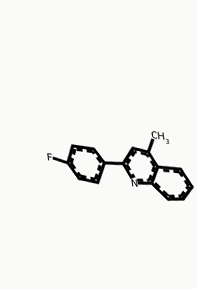 Cc1cc(-c2ccc(F)cc2)nc2ccccc12